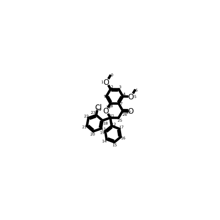 COc1cc(OC)c2c(c1)OC(c1ccccc1)(c1ccccc1Cl)CC2=O